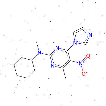 Cc1nc(N(C)C2CCCCC2)nc(-n2ccnc2)c1[N+](=O)[O-]